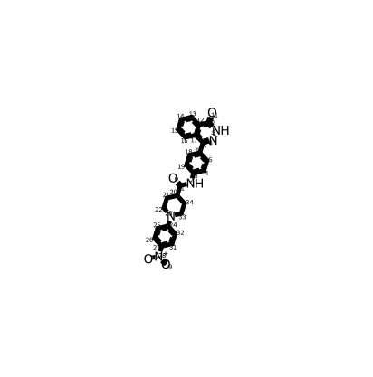 O=C(Nc1ccc(-c2n[nH]c(=O)c3ccccc23)cc1)C1CCN(c2ccc([N+](=O)[O-])cc2)CC1